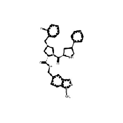 Cn1nnc2cc(CNC(=O)[C@@H]3C[C@@H](Cc4ccccc4F)CN3C(=O)[C@H]3C[C@@H](c4ccccc4)CN3)ccc21